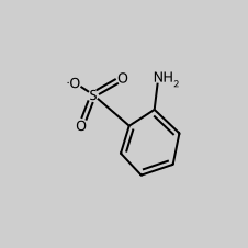 Nc1ccccc1S([O])(=O)=O